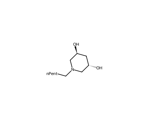 CCCCCCN1C[C@@H](O)C[C@H](O)C1